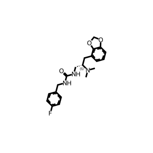 CN(C)[C@H](CNC(=O)NCc1ccc(F)cc1)Cc1cccc2c1OCO2